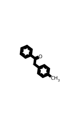 Cc1ccc([CH]C(=O)c2ccccc2)cc1